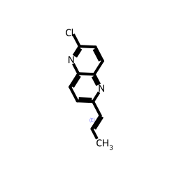 C/C=C/c1ccc2nc(Cl)ccc2n1